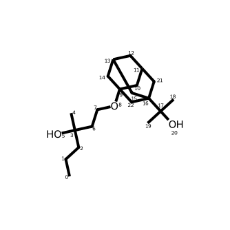 CCCC(C)(O)CCOC12CC3CC(C1)CC(C(C)(C)O)(C3)C2